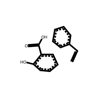 C=Cc1ccccc1.O=C(O)c1ccccc1O